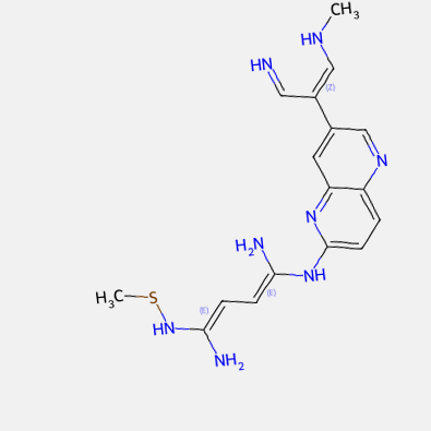 CN/C=C(\C=N)c1cnc2ccc(N/C(N)=C/C=C(\N)NSC)nc2c1